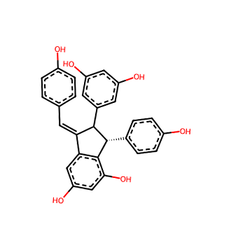 Oc1ccc(/C=C2/c3cc(O)cc(O)c3[C@@H](c3ccc(O)cc3)C2c2cc(O)cc(O)c2)cc1